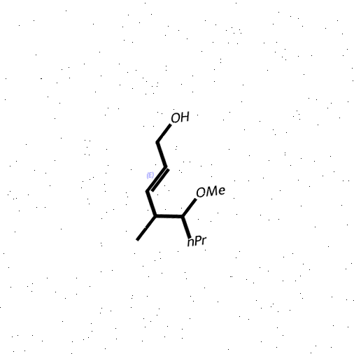 CCCC(OC)C(C)/C=C/CO